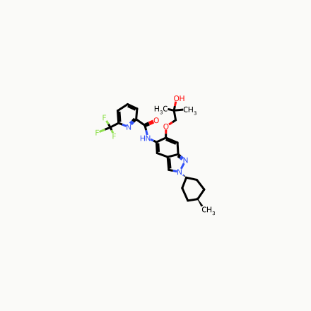 CC(C)(O)COc1cc2nn([C@H]3CC[C@H](C)CC3)cc2cc1NC(=O)c1cccc(C(F)(F)F)n1